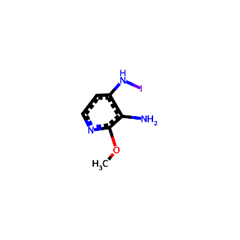 COc1nccc(NI)c1N